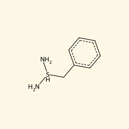 N[SH](N)Cc1ccccc1